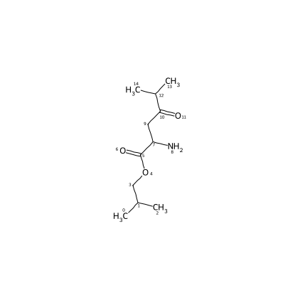 CC(C)COC(=O)C(N)CC(=O)C(C)C